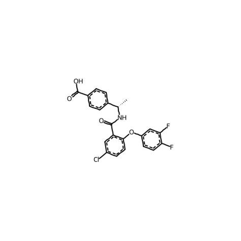 C[C@H](NC(=O)c1cc(Cl)ccc1Oc1ccc(F)c(F)c1)c1ccc(C(=O)O)cc1